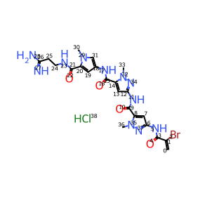 C=C(Br)C(=O)Nc1cc(C(=O)Nc2cc(C(=O)Nc3cc(C(=O)NCCC(=N)N)n(C)c3)n(C)n2)n(C)n1.Cl